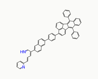 N=C/C(=C\C=C\c1ccccn1)c1ccc2cc(-c3ccc(-c4ccc5c6c(cccc46)-c4c-5c(-c5ccccc5)c5ccccc5c4-c4ccccc4)cc3)ccc2c1